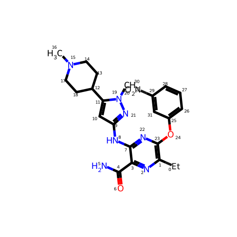 CCc1nc(C(N)=O)c(Nc2cc(C3CCN(C)CC3)n(C)n2)nc1Oc1cccc([N+](=O)[O-])c1